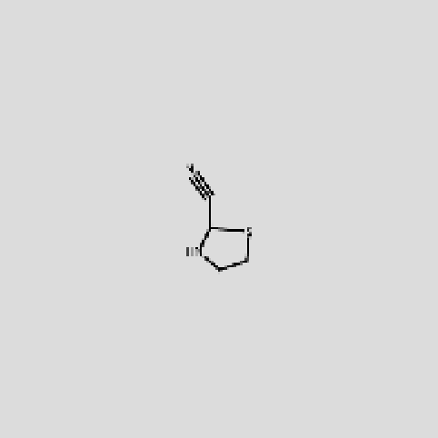 N#CC1N[CH]CS1